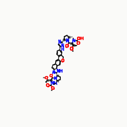 CC[C@H]1CC[C@@H](c2nc3ccc4cc5c(cc4c3[nH]2)OCc2cc(-c3cnc([C@@H]4CC[C@H](C)N4C(=O)[C@H]([C@@H](C)OC)N(C)C(=O)O)[nH]3)ccc2-5)N1C(=O)[C@@H](NC(=O)OC)[C@@H](C)OC